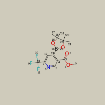 COC(=O)c1cnc(C(F)(F)F)cc1B1OC(C)(C)C(C)(C)O1